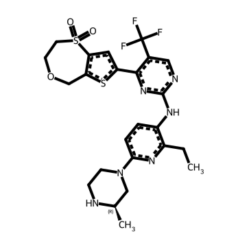 CCc1nc(N2CCN[C@H](C)C2)ccc1Nc1ncc(C(F)(F)F)c(-c2cc3c(s2)COCCS3(=O)=O)n1